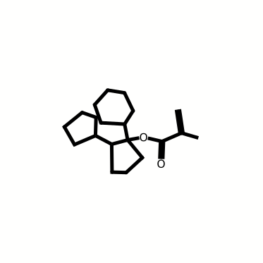 C=C(C)C(=O)OC1(C2CCCCC2)CCCC1C1CCCC1